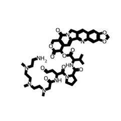 CC(C)C(NC(=O)C1CCCN1C(=O)C(CC=O)NC(=O)CN(C)CCN(C)CCN(C)CCN)C(=O)OC1C(=O)OCc2c1cc1n(c2=O)Cc2cc3cc4c(cc3nc2-1)OCO4